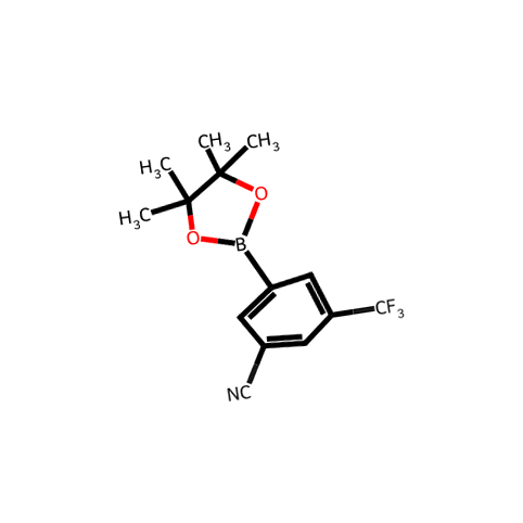 CC1(C)OB(c2cc(C#N)cc(C(F)(F)F)c2)OC1(C)C